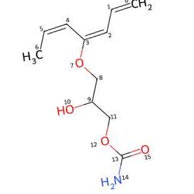 C=C/C=C(\C=C/C)OCC(O)COC(N)=O